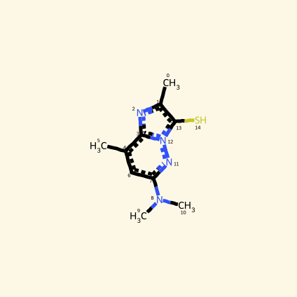 Cc1nc2c(C)cc(N(C)C)nn2c1S